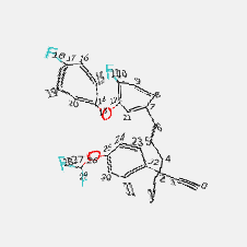 C#CC(C)(CCCc1ccc(F)c(Oc2ccc(F)cc2)c1)c1ccc(OC(F)F)cc1